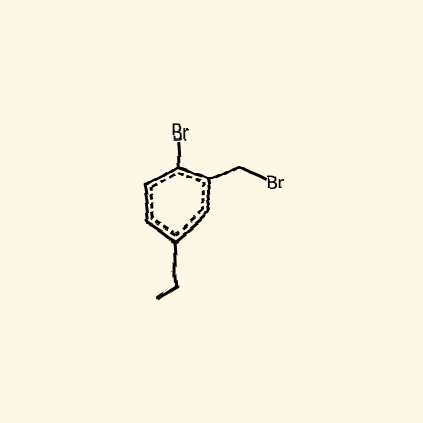 CCc1ccc(Br)c(CBr)c1